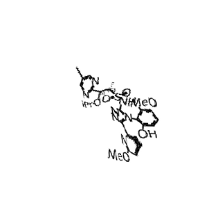 COC1=NC(c2nnc(NS(=O)(=O)[C@@H](C)[C@@H](OC(C)C)c3ncc(C)cn3)n2-c2c(O)cccc2OC)=C=C=C1